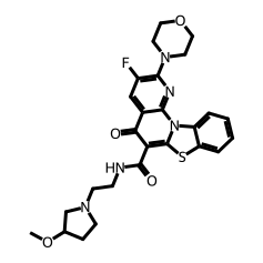 COC1CCN(CCNC(=O)c2c(=O)c3cc(F)c(N4CCOCC4)nc3n3c2sc2ccccc23)C1